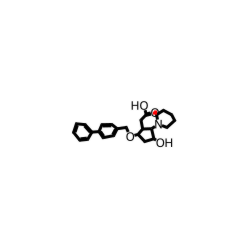 O=C(O)CC1C(OCc2ccc(-c3ccccc3)cc2)CC(O)C1N1CCCCC1